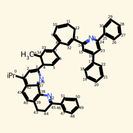 CC(C)c1cc(C2C=CC(C3=CC=CCC(c4cc(-c5ccccc5)cc(-c5ccccc5)n4)=C3)=CC2C)nc2c3c(ccc12)CCC(c1ccccc1)=N3